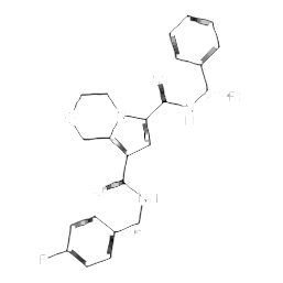 CC[C@H](NC(=O)c1cc(C(=O)N[C@H](C)c2ccc(F)cc2)c2n1CCOC2)c1ccccc1